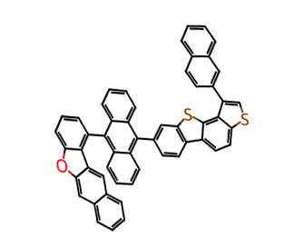 c1ccc2cc(-c3csc4ccc5c6ccc(-c7c8ccccc8c(-c8cccc9oc%10cc%11ccccc%11cc%10c89)c8ccccc78)cc6sc5c34)ccc2c1